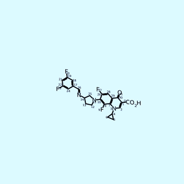 O=C(O)c1cn(C2CC2)c2c(F)c(N3CCC(N=Cc4cc(F)cc(F)c4)C3)c(F)cc2c1=O